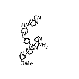 COc1ccnc(-c2ccc3nc(-c4cccnc4N)n(-c4ccc(CN5CCC(Nc6ccnc(C#N)n6)CC5)cc4)c3n2)c1